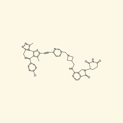 Cc1c(C#Cc2ccc(CN3CC(CNc4cccc5c4CN(C4CCC(=O)NC4=O)C5=O)C3)cn2)sc2c1C(c1ccc(Cl)cc1)=NCc1nnc(C)n1-2